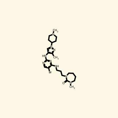 Cc1nn(C2CCN(C)CC2)cc1Nc1ncc(Br)c(NCCCN2CCCCN(C)C2=O)n1